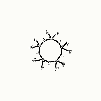 CCC[Si]1(CC)O[Si](CC)(CCC)O[Si](CC)(CCC)O[Si](CC)(CCC)O[Si](CC)(CCC)O1